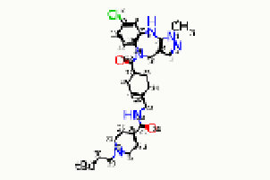 Cn1ncc2c1Nc1cc(Cl)ccc1N(C(=O)C1CCC(CNC(=O)C3CCN(CCC(C)(C)C)CC3)CC1)C2